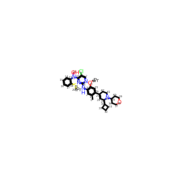 Cc1cc(Nc2ncc(Cl)c(N(O)c3ccccc3SC(C)C)n2)c(OC(C)C)cc1C1=CC(C2CCC2)N(C2CCOCC2)CC1